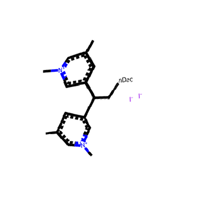 CCCCCCCCCCCC(c1cc(C)c[n+](C)c1)c1cc(C)c[n+](C)c1.[I-].[I-]